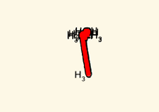 COCCOCCOCCOCCOCCOCCOCCOCCOCCOCCOCCOCCOCCOCCOCCOCCOCCOCCOCCOCCOCCOCCOCCOCCN(CCC(=O)N[C@H](C(=O)N[C@@H](C)C(=O)Nc1ccc(COC(=O)C(C)(C)C)c(CC[C@@H]2O[C@H](C(=O)O)[C@@H](O)[C@H](O)[C@H]2O)c1)C(C)C)C(=O)CN1C(=O)C=CC1=O